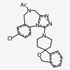 CC(=O)N1Cc2cc(Cl)ccc2-n2c(nnc2N2CCC3(CC2)OCc2ccccc23)C1